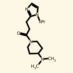 CCCn1ccnc1CCC(=O)N1CCC(N(C)C)CC1